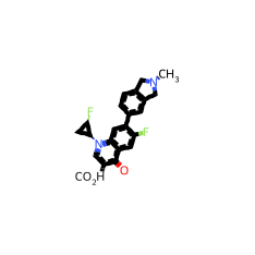 CN1Cc2ccc(-c3cc4c(cc3F)c(=O)c(C(=O)O)cn4[C@@H]3C[C@@H]3F)cc2C1